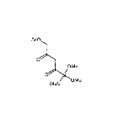 CO[Si](OC)(OC)C(=O)CC(=O)COC(C)=O